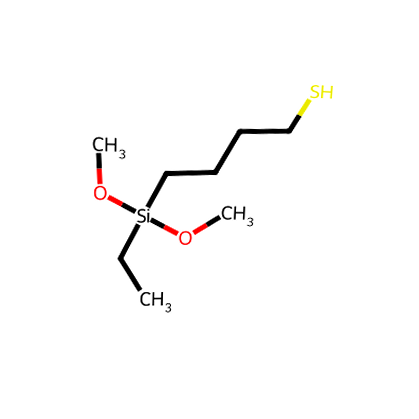 CC[Si](CCCCS)(OC)OC